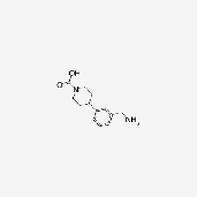 NCc1cccc(C2CCN(C(=O)O)CC2)c1